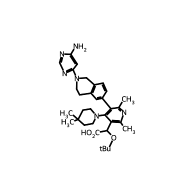 Cc1nc(C)c(C(OC(C)(C)C)C(=O)O)c(N2CCC(C)(C)CC2)c1-c1ccc2c(c1)CCN(c1cc(N)ncn1)C2